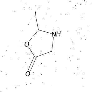 O=C1CNC(I)O1